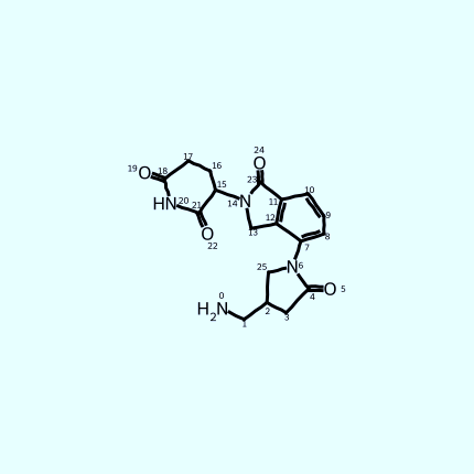 NCC1CC(=O)N(c2cccc3c2CN(C2CCC(=O)NC2=O)C3=O)C1